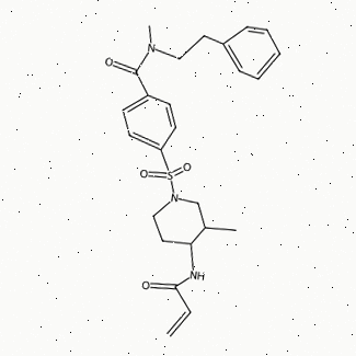 C=CC(=O)NC1CCN(S(=O)(=O)c2ccc(C(=O)N(C)CCc3ccccc3)cc2)CC1C